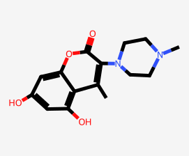 Cc1c(N2CCN(C)CC2)c(=O)oc2cc(O)cc(O)c12